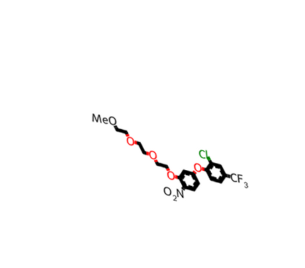 COCCOCCOCCOc1cc(Oc2ccc(C(F)(F)F)cc2Cl)ccc1[N+](=O)[O-]